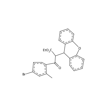 CCOC(=O)C(C(=O)c1ccc(Br)cc1C)C1c2ccccc2Oc2ccccc21